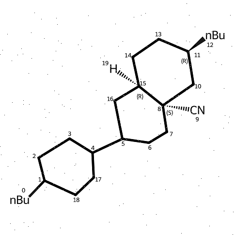 CCCCC1CCC(C2CC[C@]3(C#N)C[C@H](CCCC)CC[C@@H]3C2)CC1